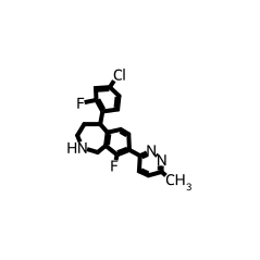 Cc1ccc(-c2ccc3c(c2F)CNCCC3c2ccc(Cl)cc2F)nn1